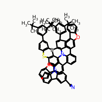 CC(C)(C)c1cc(-c2ccc3c(c2)B2c4cc(-c5cc(C(C)(C)C)cc(C(C)(C)C)c5)ccc4N(c4c(-c5ccc6c(c5)oc5ccccc56)cccc4-c4ccc5c(c4)oc4ccccc45)c4cc(-n5c6ccccc6c6cc(C#N)ccc65)cc(c42)S3)cc(C(C)(C)C)c1